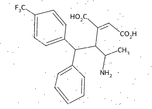 CC(N)C(/C(=C\C(=O)O)C(=O)O)C(c1ccccc1)c1ccc(C(F)(F)F)cc1